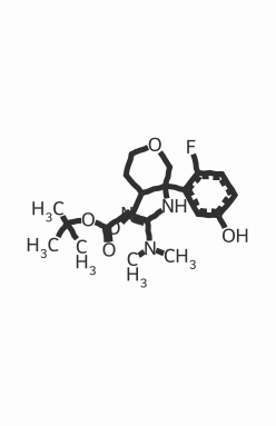 CN(C)C(=NC(=O)OC(C)(C)C)NC1(c2cc(O)ccc2F)COCCC1C=O